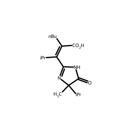 CCCC/C(C(=O)O)=C(/C1=NC(C)(C(C)C)C(=O)N1)C(C)C